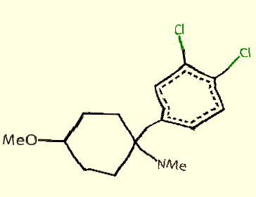 CNC1(c2ccc(Cl)c(Cl)c2)CCC(OC)CC1